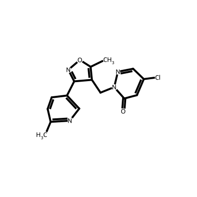 Cc1ccc(-c2noc(C)c2Cn2ncc(Cl)cc2=O)cn1